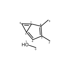 CO.Cc1cc2cc-2c1C